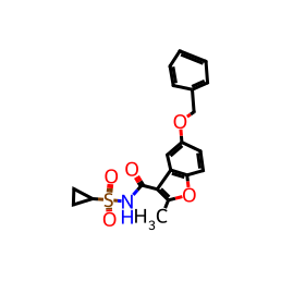 Cc1oc2ccc(OCc3ccccc3)cc2c1C(=O)NS(=O)(=O)C1CC1